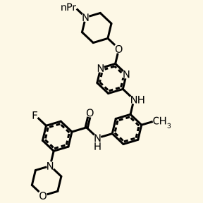 CCCN1CCC(Oc2nccc(Nc3cc(NC(=O)c4cc(F)cc(N5CCOCC5)c4)ccc3C)n2)CC1